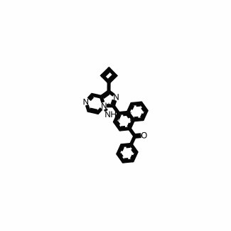 N[N+]12C=CN=CC1=C(C1=CC=C1)N=C2c1ccc(C(=O)c2ccccc2)c2ccccc12